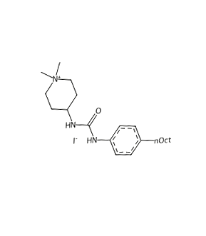 CCCCCCCCc1ccc(NC(=O)NC2CC[N+](C)(C)CC2)cc1.[I-]